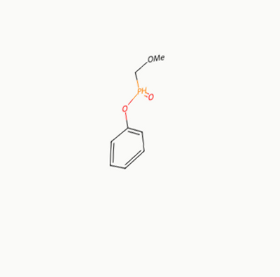 COC[PH](=O)Oc1ccccc1